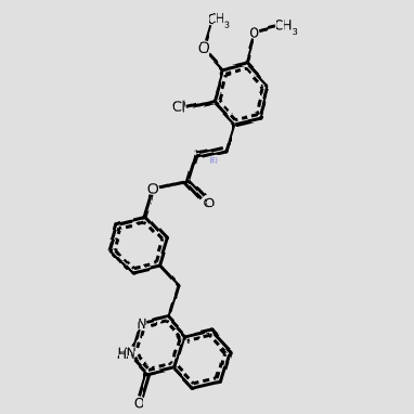 COc1ccc(/C=C/C(=O)Oc2cccc(Cc3n[nH]c(=O)c4ccccc34)c2)c(Cl)c1OC